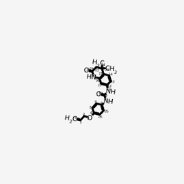 C=CCOc1ccc(NC(=O)Nc2ccc3c(c2)NC(=O)CC3(C)C)cc1